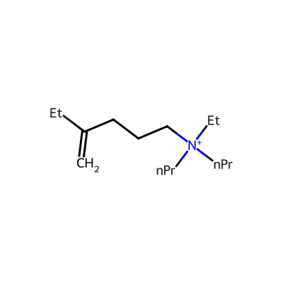 C=C(CC)CCC[N+](CC)(CCC)CCC